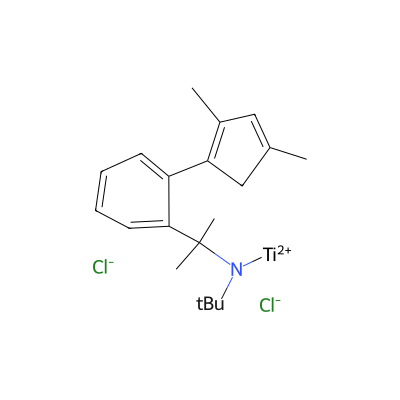 CC1=CC(C)=C(c2ccccc2C(C)(C)[N]([Ti+2])C(C)(C)C)C1.[Cl-].[Cl-]